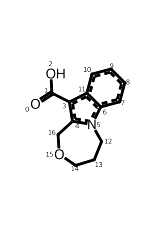 O=C(O)c1c2n(c3ccccc13)CCCOC2